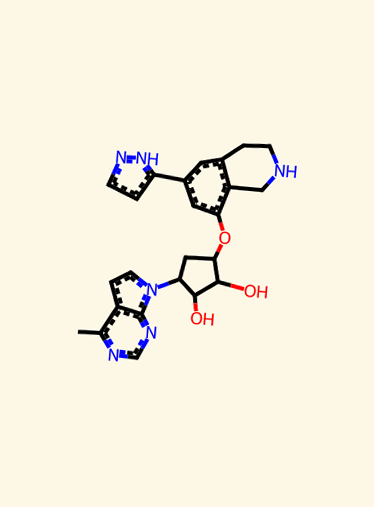 Cc1ncnc2c1ccn2C1CC(Oc2cc(-c3ccn[nH]3)cc3c2CNCC3)C(O)C1O